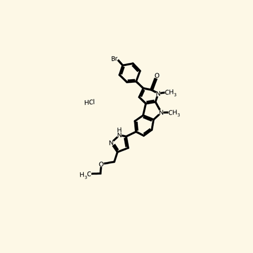 CCOCc1cc(-c2ccc3c(c2)c2cc(-c4ccc(Br)cc4)c(=O)n(C)c2n3C)[nH]n1.Cl